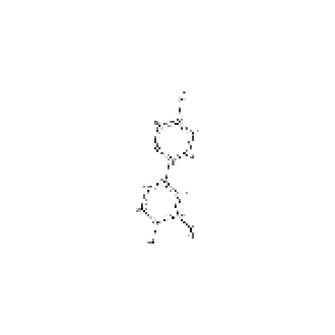 Cc1ccc(-c2ccc(F)cc2)cc1Cl